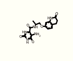 CC(COc1ccc2c(c1)NC(=O)CC2)NC(=O)c1[nH]c(=O)[nH]c(=O)c1N